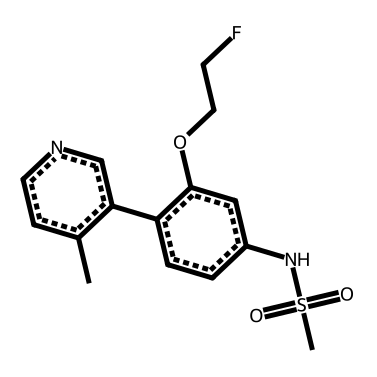 Cc1ccncc1-c1ccc(NS(C)(=O)=O)cc1OCCF